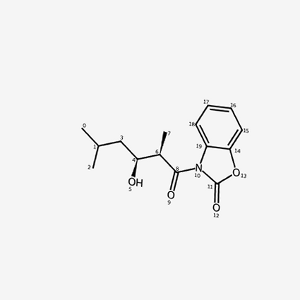 CC(C)C[C@H](O)[C@@H](C)C(=O)n1c(=O)oc2ccccc21